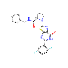 O=C(NCc1ccccc1)[C@H]1CCCN1c1nc2c(=O)[nH]c(-c3cc(F)ccc3F)nc2s1